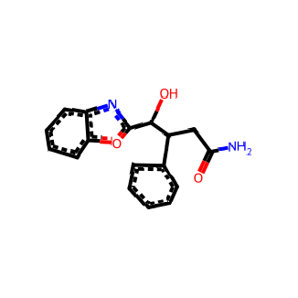 NC(=O)CC(c1ccccc1)C(O)c1nc2ccccc2o1